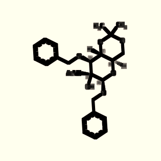 CC(=O)N[C@]1(O)[C@H](OCc2ccccc2)O[C@@H]2COC(C)(C)O[C@H]2[C@@H]1OCc1ccccc1